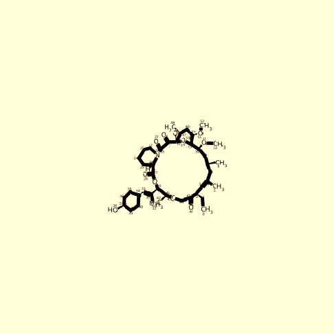 CC[C@@H]1/C=C(\C)C[C@H](C)C[C@H](OC)[C@H]2O[C@@](O)(C(=O)C(=O)N3CCCC[C@H]3C(=O)O[C@H](/C(C)=C/[C@H]3CC[C@H](O)CC3)[C@H](C)CCC1=O)[C@H](C)C[C@@H]2OC